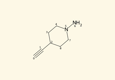 C#CC1CCN(N)CC1